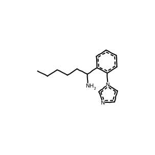 CCCCCC(N)c1ccccc1-n1ccnc1